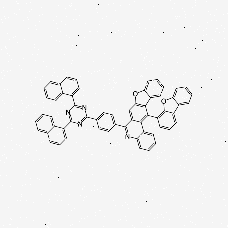 c1ccc2c(-c3nc(-c4ccc(-c5nc6ccccc6c6c(-c7cccc8c7oc7ccccc78)c7c(cc56)oc5ccccc57)cc4)nc(-c4cccc5ccccc45)n3)cccc2c1